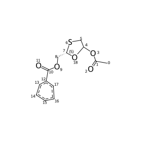 CC(=O)OC1CS[C@@H](COC(=O)c2ccccc2)O1